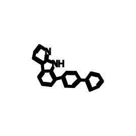 c1ccc(-c2ccc(-c3cccc4c3[nH]c3ncccc34)cc2)cc1